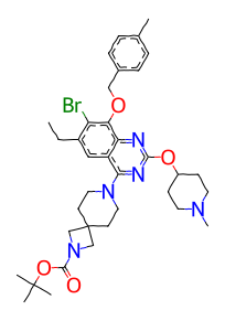 CCc1cc2c(N3CCC4(CC3)CN(C(=O)OC(C)(C)C)C4)nc(OC3CCN(C)CC3)nc2c(OCc2ccc(C)cc2)c1Br